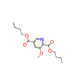 CCCCOC(=O)c1cnc(C(=O)OCCCC)c(OC)c1